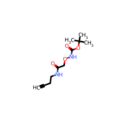 C#CCCNC(=O)CONC(=O)OC(C)(C)C